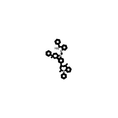 C/C1=C\C(c2ccc3c(c2)c2c(n3/C=N/c3ccccc3C(=N)c3ccccc3)C=CC(C)(c3ccccc3)C2)=C/C(C)N(c2ccccc2)c2ccccc21